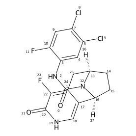 O=C(Nc1cc(Cl)c(Cl)cc1F)N1[C@@H]2CC[C@H]1c1c[nH]c(=O)c(F)c1C2